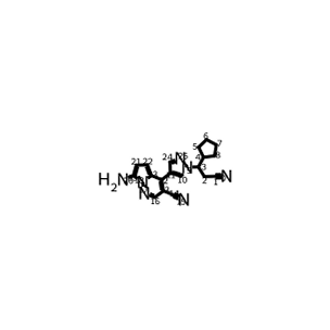 N#CCC(C1CCCC1)n1cc(-c2c(C#N)cnn3c(N)ccc23)cn1